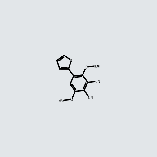 CCCCOc1cc(-c2cccs2)c(OCCCC)c(C#N)c1C#N